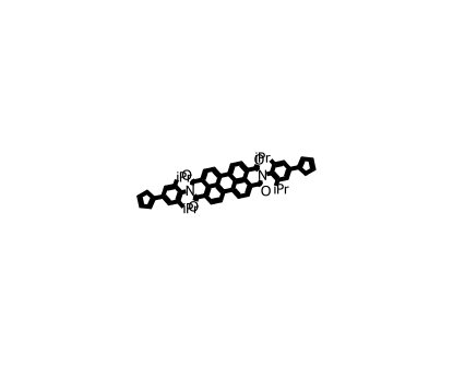 CC(C)c1cc(C2=CC=CC2)cc(C(C)C)c1N1C(=O)c2ccc3c4ccc5c6c(ccc(c7ccc(c2c37)C1=O)c64)C(=O)N(c1c(C(C)C)cc(C2=CC=CC2)cc1C(C)C)C5=O